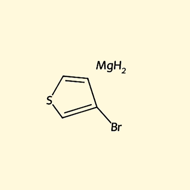 Brc1ccsc1.[MgH2]